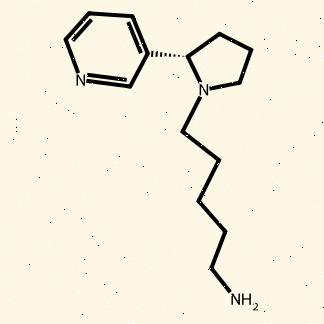 NCCCCCN1CCC[C@H]1c1cccnc1